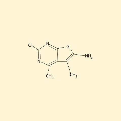 Cc1nc(Cl)nc2sc(N)c(C)c12